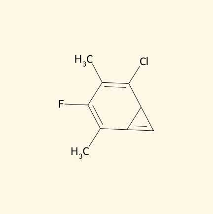 CC1=C(F)C(C)=C(Cl)C2C=C12